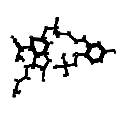 Cc1ccc(OCC(F)(F)F)c(OCCN[C@H](C)Cc2cc3c(c(C(N)=O)c2)N(CCCO)C(C)C3)c1